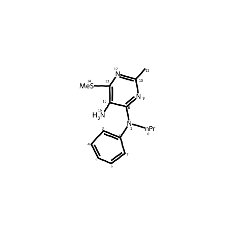 CCCN(c1ccccc1)c1nc(C)nc(SC)c1N